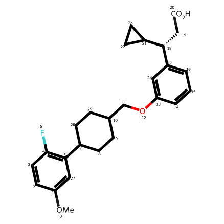 COc1ccc(F)c(C2CCC(COc3cccc([C@@H](CC(=O)O)C4CC4)c3)CC2)c1